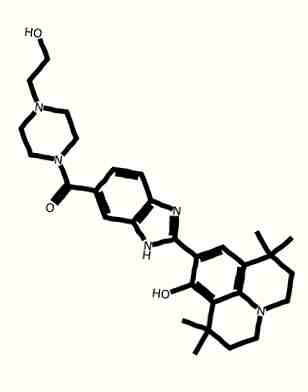 CC1(C)CCN2CCC(C)(C)c3c(O)c(-c4nc5ccc(C(=O)N6CCN(CCO)CC6)cc5[nH]4)cc1c32